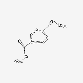 CCCCOC(=O)c1ccc(OC(=O)O)cc1